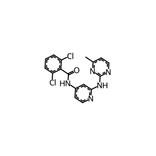 Cc1ccnc(Nc2cc(NC(=O)c3c(Cl)cccc3Cl)ccn2)n1